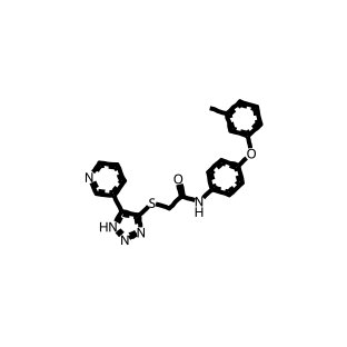 Cc1cccc(Oc2ccc(NC(=O)CSc3nn[nH]c3-c3cccnc3)cc2)c1